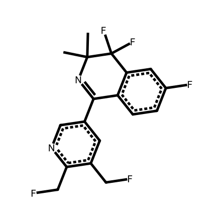 CC1(C)N=C(c2cnc(CF)c(CF)c2)c2ccc(F)cc2C1(F)F